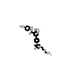 Nc1ncc(-c2ccc([C@@]34C[C@@H]3CN(CCOCC(F)(F)F)C4)cc2)cc1C(=O)N[C@H]1CC[C@H](O)CC1